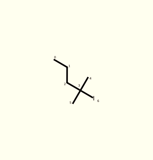 CCCC(C)(C)I